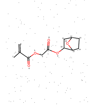 C=C(C)C(=O)OCC(=O)OC1CC2CCC1O2